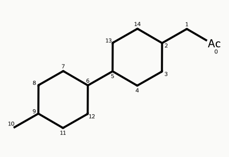 CC(=O)CC1CCC(C2CCC(C)CC2)CC1